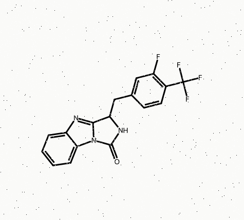 O=C1NC(Cc2ccc(C(F)(F)F)c(F)c2)c2nc3ccccc3n21